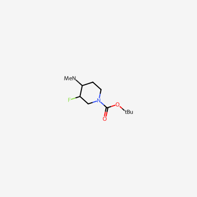 CNC1CCN(C(=O)OC(C)(C)C)CC1F